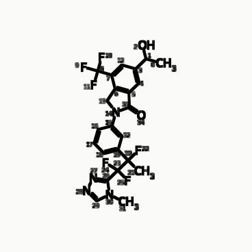 CC(O)c1cc2c(c(C(F)(F)F)c1)CN(c1cccc(C(C)(F)C(F)(F)c3nncn3C)c1)C2=O